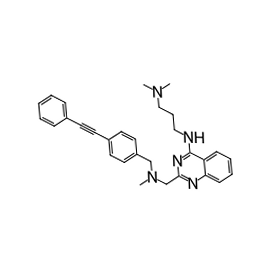 CN(C)CCCNc1nc(CN(C)Cc2ccc(C#Cc3ccccc3)cc2)nc2ccccc12